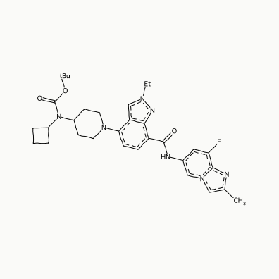 CCn1cc2c(N3CCC(N(C(=O)OC(C)(C)C)C4CCC4)CC3)ccc(C(=O)Nc3cc(F)c4nc(C)cn4c3)c2n1